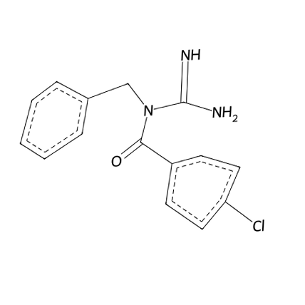 N=C(N)N(Cc1ccccc1)C(=O)c1ccc(Cl)cc1